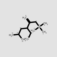 C=C(C[Si](C)(C)C)C(CC)CC(C)C